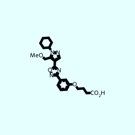 COCc1c(-c2nc(-c3cccc(OCCCC(=O)O)c3)no2)cnn1C1CCCCC1